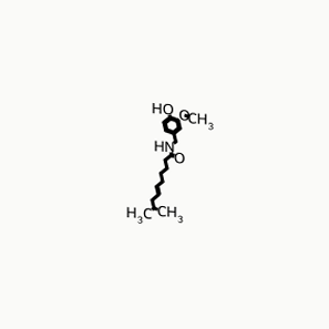 COc1cc(CNC(=O)CCCCC=CCC(C)C)ccc1O